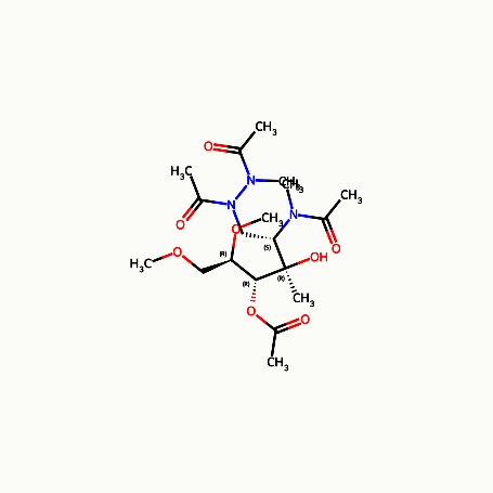 COC[C@@H](OC)[C@@H](OC(C)=O)[C@](C)(O)[C@H](CN(C(C)=O)N(C)C(C)=O)N(C)C(C)=O